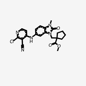 COC(=O)C1(Cn2c(=O)n(C)c3ccc(Nc4ccnc(Cl)c4C#N)cc32)CCCC1